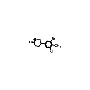 Cc1c(Cl)cc(C2=NNC(=O)CC2)cc1Br